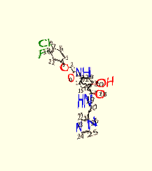 O=C(COc1ccc(Cl)c(F)c1)NC12CCC(C(=O)NCc3cnccn3)(CC1)C(O)C2